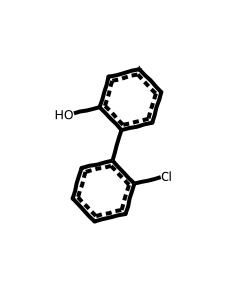 Oc1c[c]ccc1-c1ccccc1Cl